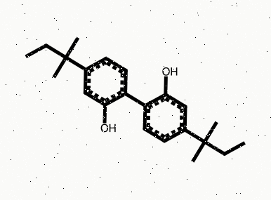 CCC(C)(C)c1ccc(-c2ccc(C(C)(C)CC)cc2O)c(O)c1